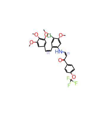 COc1cc(N/C=C\C(=O)c2ccc(OC(F)(F)F)cc2)c(/C=C\c2cc(OC)c(OC)c(OC)c2)cc1Cl